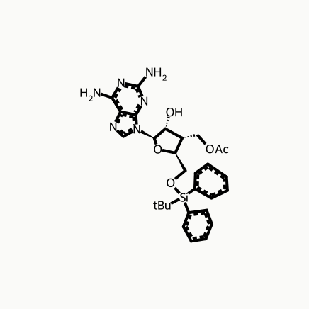 CC(=O)OC[C@H]1[C@@H](O)[C@H](n2cnc3c(N)nc(N)nc32)O[C@@H]1CO[Si](c1ccccc1)(c1ccccc1)C(C)(C)C